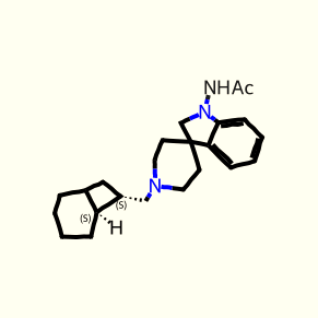 CC(=O)NN1CC2(CCN(C[C@H]3CC4CCCC[C@@H]43)CC2)c2ccccc21